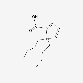 CCCC[N+]1(CCCC)C=CC=C1C(=O)O